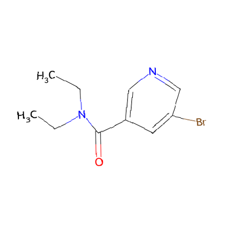 CCN(CC)C(=O)c1cncc(Br)c1